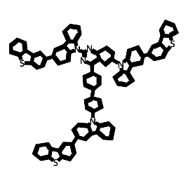 c1ccc2c(c1)sc1ccc(-c3ccc4c(c3)c3ccccc3n4-c3ccc(-c4ccc(-c5nc(-n6c7ccccc7c7cc(-c8ccc9sc%10ccccc%10c9c8)ccc76)nc6ccc(-n7c8ccccc8c8cc(-c9ccc%10sc%11ccccc%11c%10c9)ccc87)cc56)cc4)cc3)cc12